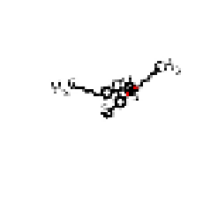 CCCCCCc1ccc(C(O)(c2ccc(CCCCCC)cc2)c2cc(-c3cccs3)ccc2-c2cccs2)cc1